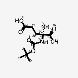 CC(C)(C)OC(=O)N[C@@](N)(CCC(=O)O)C(=O)O